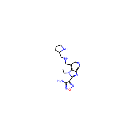 CCn1c(-c2nonc2N)nc2cncc(CNCC3CCCN3)c21